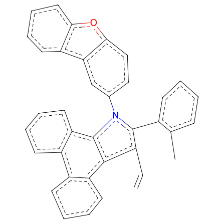 C=Cc1c(-c2ccccc2C)n(-c2ccc3oc4ccccc4c3c2)c2c3ccccc3c3ccccc3c12